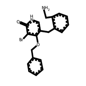 NCc1ccccc1Cc1c[nH]c(=O)c(Br)c1OCc1ccccc1